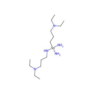 CCN(CC)CCC[NH][Sn]([NH2])([NH2])[CH2]CCN(CC)CC